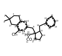 CC1(C)CCc2nc(CC3(NC(=O)O)CCCC3Cc3ccccc3)nc(Cl)c2C1